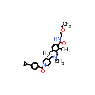 C=c1ccc(C(=O)NCCOCC(F)(F)F)c(C)/c1=C/N(C)CC1CCN(C(=O)c2ccc(C3CC3)cc2)CC1